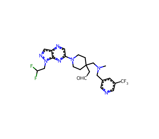 CN(Cc1cncc(C(F)(F)F)c1)CC1(CC=O)CCN(c2cnc3cnn(CC(F)F)c3n2)CC1